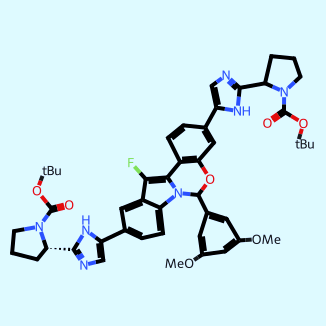 COc1cc(OC)cc(C2Oc3cc(-c4cnc(C5CCCN5C(=O)OC(C)(C)C)[nH]4)ccc3-c3c(F)c4cc(-c5cnc([C@@H]6CCCN6C(=O)OC(C)(C)C)[nH]5)ccc4n32)c1